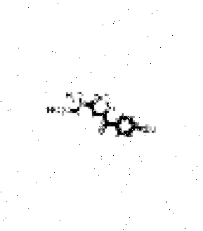 CC(=O)SC(CC(=O)N(C)CC(=O)O)C(=O)c1ccc(C(C)(C)C)cc1